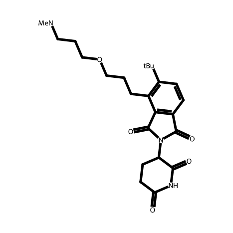 CNCCCOCCCc1c(C(C)(C)C)ccc2c1C(=O)N(C1CCC(=O)NC1=O)C2=O